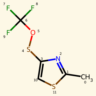 Cc1nc(SOC(F)(F)F)cs1